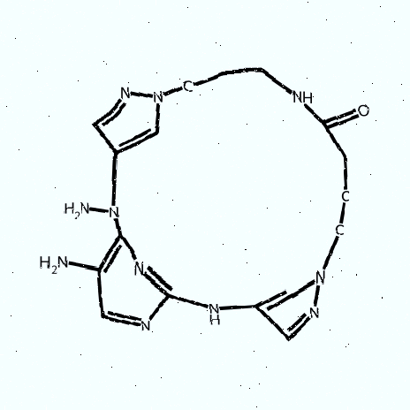 Nc1cnc2nc1N(N)c1cnn(c1)CCCNC(=O)CCCn1cc(cn1)N2